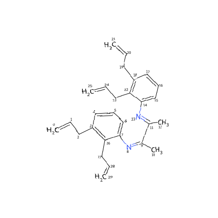 C=CCc1cccc(N=C(C)C(C)=Nc2cccc(CC=C)c2CC=C)c1CC=C